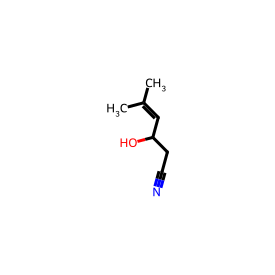 CC(C)=CC(O)CC#N